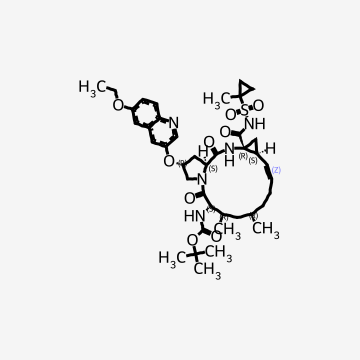 CCOc1ccc2ncc(O[C@@H]3C[C@H]4C(=O)N[C@]5(C(=O)NS(=O)(=O)C6(C)CC6)C[C@H]5/C=C\CC[C@@H](C)C[C@@H](C)[C@H](NC(=O)OC(C)(C)C)C(=O)N4C3)cc2c1